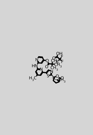 Cc1cc(Nc2cc(OC(=O)C(C)(C)C)ccn2)nc(-c2cnc([C@@]34CCC(C(=O)O3)C(C)C4)s2)c1.O=C(O)C(F)(F)F